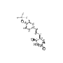 CC(C)(C)Oc1ccc(C=CC=C2SC(=O)NC2=O)cc1